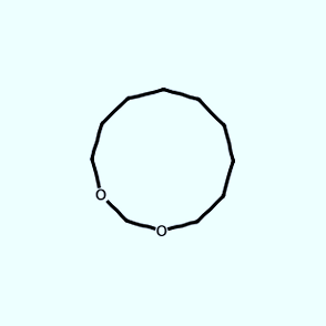 C1CCCCOCOCCCC1